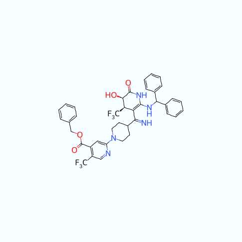 N=C(C1=C(NC(c2ccccc2)c2ccccc2)NC(=O)[C@H](O)[C@@H]1C(F)(F)F)C1CCN(c2cc(C(=O)OCc3ccccc3)c(C(F)(F)F)cn2)CC1